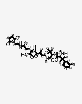 CN[C@H](C(=O)NC(C(=O)N(C)C/C=C(\C)C(=O)N[C@H](CCC(=O)NCCN1C(=O)C=CC1=O)C(=O)O)C(C)(C)C)C(C)(C)c1cccc(F)c1